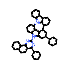 c1ccc(-c2cc3c4cccc5c6ccccc6n(c6cccc7c6c3c(c2)n7-c2nc(-c3ccccc3)c3ccc6ccccc6c3n2)c45)cc1